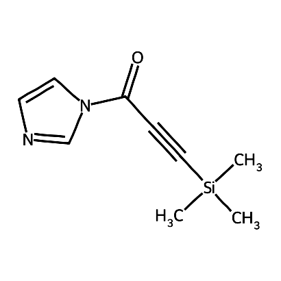 C[Si](C)(C)C#CC(=O)n1ccnc1